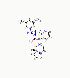 O=C(NNc1cc(C(F)(F)F)cc(C(F)(F)F)c1)C(c1cccnc1Cl)N1CCN2CCC[C@@H]2C1